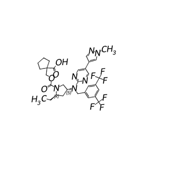 CC[C@@H]1C[C@H](N(Cc2cc(C(F)(F)F)cc(C(F)(F)F)c2)c2ncc(-c3cnn(C)c3)cn2)CN1C(=O)OCC1(C(=O)O)CCCC1